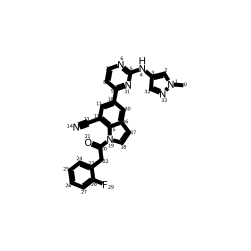 Cn1cc(Nc2nccc(-c3cc(C#N)c4c(ccn4C(=O)Cc4ccccc4F)c3)n2)cn1